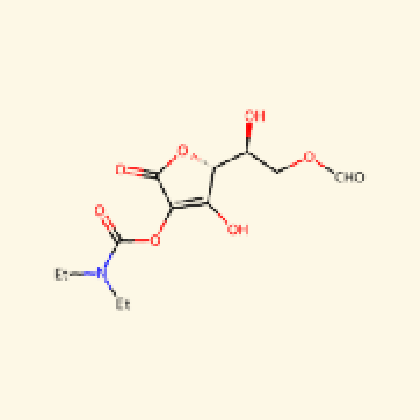 CCN(CC)C(=O)OC1=C(O)[C@@H]([C@@H](O)COC=O)OC1=O